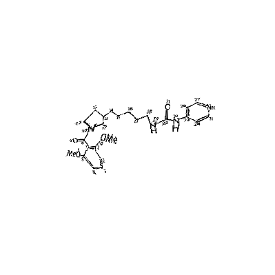 COc1cccc(OC)c1C(=O)N1CCC(CCCCCNC(=O)Nc2ccncc2)C1